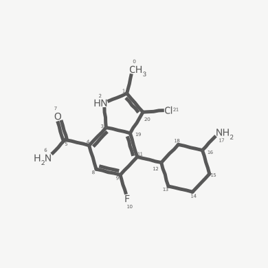 Cc1[nH]c2c(C(N)=O)cc(F)c(C3CCCC(N)C3)c2c1Cl